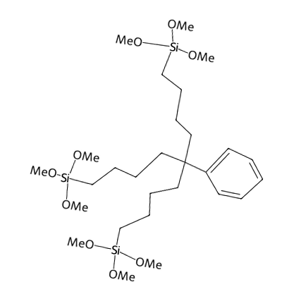 CO[Si](CCCCC(CCCC[Si](OC)(OC)OC)(CCCC[Si](OC)(OC)OC)c1ccccc1)(OC)OC